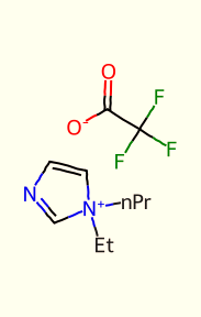 CCC[N+]1(CC)C=CN=C1.O=C([O-])C(F)(F)F